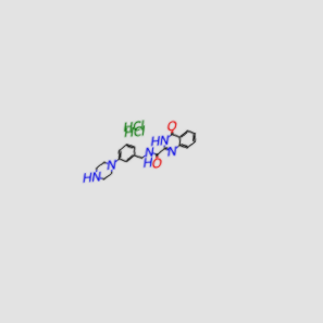 Cl.Cl.O=C(NCc1cccc(N2CCNCC2)c1)c1nc2ccccc2c(=O)[nH]1